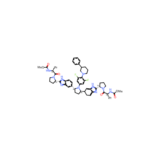 COC(=O)N[C@H](C(=O)N1CCC[C@H]1c1nc2c([nH]1)=CC([C@H]1CC[C@H](c3ccc4[nH]c([C@@H]5CCCN5C(=O)[C@@H](NC(=O)OC)C(C)C)nc4c3)N1c1cc(F)c(N3CCCC(c4ccccc4)C3)c(F)c1)CC=2)C(C)C